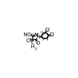 CC1(Cl)C(=O)N(c2ccc(Cl)c(Cl)c2)N=C1C#N